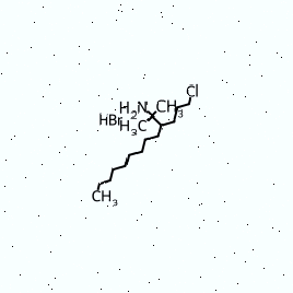 Br.CCCCCCCCCC(CCCCl)C(C)(C)N